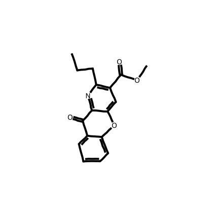 CCCc1nc2c(=O)c3ccccc3oc2cc1C(=O)OC